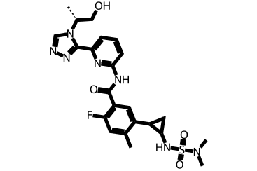 Cc1cc(F)c(C(=O)Nc2cccc(-c3nncn3[C@H](C)CO)n2)cc1C1CC1NS(=O)(=O)N(C)C